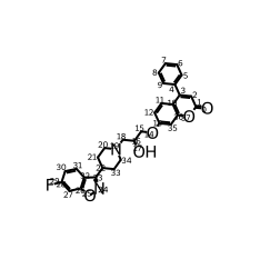 O=c1cc(-c2ccccc2)c2ccc(OCC(O)CN3CCC(c4noc5cc(F)ccc45)CC3)cc2o1